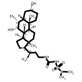 CC[C@H]1[C@@H](O)[C@@H]2[C@H](CC[C@]3(C)[C@@H]([C@H](C)CCNC(=O)NS(=O)(=O)N(C)C)CC[C@@H]23)[C@@]2(C)CC[C@@H](O)C[C@@H]12